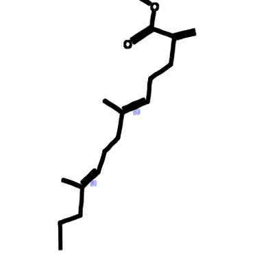 C=C(CC/C=C(\C)CC/C=C(\C)CCC)C(=O)OC